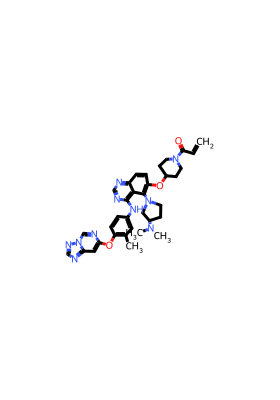 C=CC(=O)N1CCC(Oc2ccc3ncnc(Nc4ccc(Oc5cc6ncnn6cn5)c(C)c4)c3c2N2CCC(N(C)C)C2)CC1